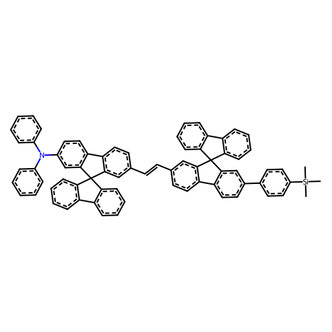 C[Si](C)(C)c1ccc(-c2ccc3c(c2)C2(c4ccccc4-c4ccccc42)c2cc(/C=C/c4ccc5c(c4)C4(c6ccccc6-c6ccccc64)c4cc(N(c6ccccc6)c6ccccc6)ccc4-5)ccc2-3)cc1